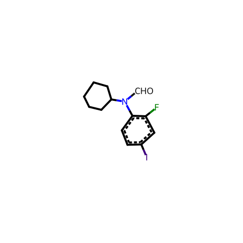 O=CN(c1ccc(I)cc1F)C1CCCCC1